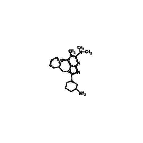 CN(C)c1nc2nc(N3CCCC(N)C3)n(Cc3ccccc3)c2c(=O)n1C